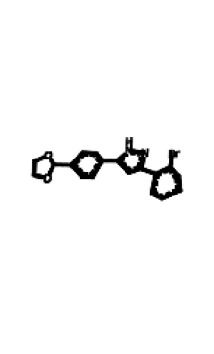 Brc1ccccc1-c1cc(-c2ccc(C3OCCO3)cc2)[nH]n1